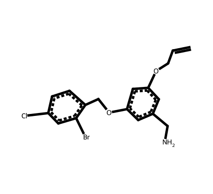 C=CCOc1cc(CN)cc(OCc2ccc(Cl)cc2Br)c1